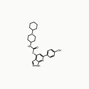 O=C(NC1CCN(C2CCCCC2)CC1)Oc1cc(-c2ccc(O)cc2)nc2[nH]ncc12